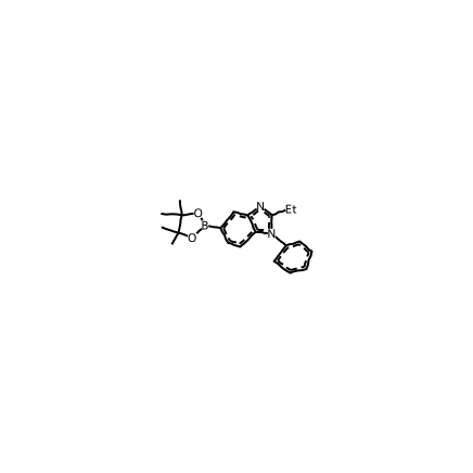 CCc1nc2cc(B3OC(C)(C)C(C)(C)O3)ccc2n1-c1ccccc1